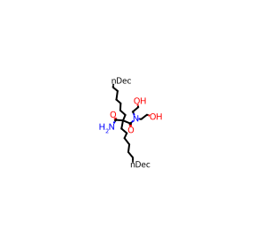 CCCCCCCCCCCCCCCCC(CCCCCCCCCCCCCCCC)(C(N)=O)C(=O)N(CCO)CCO